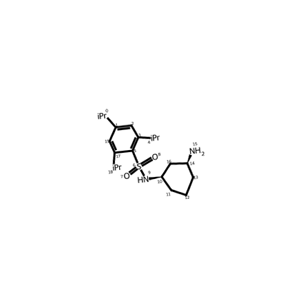 CC(C)c1cc(C(C)C)c(S(=O)(=O)N[C@@H]2CCC[C@H](N)C2)c(C(C)C)c1